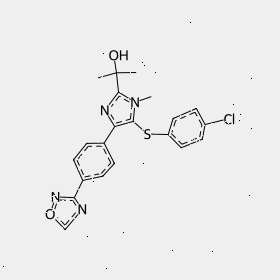 Cn1c(C(C)(C)O)nc(-c2ccc(-c3ncon3)cc2)c1Sc1ccc(Cl)cc1